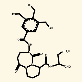 O=CC(CC(=O)O)NC(=O)C1CCCN2C(=O)CCN(NC(=O)c3cc(CO)c(CO)c(CO)c3)C(=O)N12